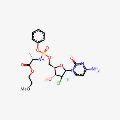 COCCOC(=O)[C@H](C)NP(=O)(OC[C@H]1O[C@@H](n2ccc(N)nc2=O)[C@@](F)(Cl)[C@@H]1O)Oc1ccccc1